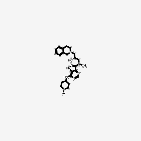 CC(=O)N1CCC(Nc2ncnc3c(N(C)C[C@@H](O)CN4CCc5ccccc5C4)n[nH]c23)CC1